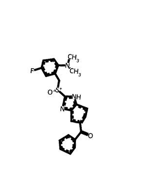 CN(C)c1ccc(F)cc1C[S+]([O-])c1nc2cc(C(=O)c3ccccc3)ccc2[nH]1